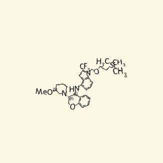 CO[C@H]1CCCN([C@H]2COc3ccccc3[C@@H]2Nc2cccc3c2cc(C(F)(F)F)n3COCC[Si](C)(C)C)C1